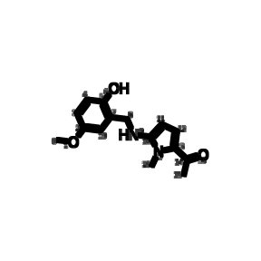 COc1ccc(O)c(CNc2ccc(C(C)=O)n2C)c1